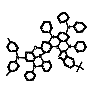 Cc1ccc(N(c2ccc(C)cc2)c2cc3c4c(c2)N(c2ccccc2)c2ccccc2B4c2cc4c(cc2O3)N(c2ccccc2)c2cc(N(c3ccccc3)c3ccccc3)cc3c2B4c2sc4ccc(C(C)(C)C)cc4c2N3c2ccccc2)cc1